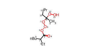 CCCCC(CC)C(=O)OOOC(C)(CC(C)C)OO